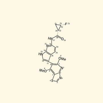 COc1nc2ncsc2c(OC)c1-c1c[nH]c2nc(NC(=O)[C@@H]3C[C@@H]3F)ccc12